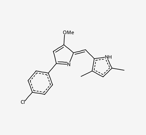 COC1=CC(c2ccc(Cl)cc2)=NC1=Cc1[nH]c(C)cc1C